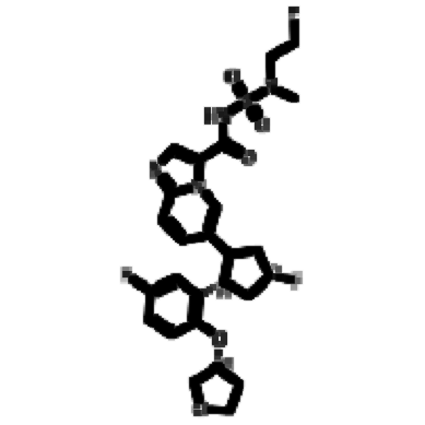 CN(CCF)S(=O)(=O)NC(=O)c1cnc2ccc(C3C[C@@H](F)C[C@@H]3c3cc(F)ccc3O[C@@H]3CCOC3)cn12